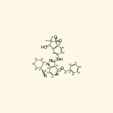 CC1(C)C(O)c2cc(Nc3nn([C@H]4CCCC[C@@H]4C#N)c4ccnc(OCc5ccccc5)c34)ccc2S1(=O)=O